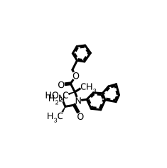 C[C@@H](N)C(=O)N(c1ccc2ccccc2c1)[C@](C)(C(=O)O)C(=O)OCc1ccccc1